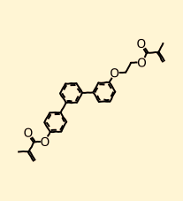 C=C(C)C(=O)OCCOc1cccc(-c2cccc(-c3ccc(OC(=O)C(=C)C)cc3)c2)c1